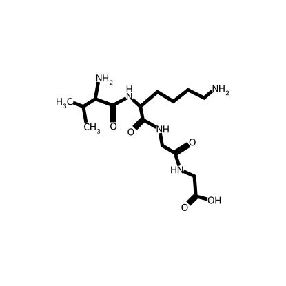 CC(C)C(N)C(=O)NC(CCCCN)C(=O)NCC(=O)NCC(=O)O